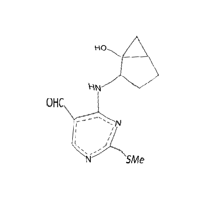 CSc1ncc(C=O)c(NC2CCC3CC32O)n1